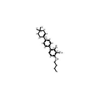 CCCCOc1ccc(-c2ccc(C3=CCC(C)(C)CC3)cc2)c(F)c1F